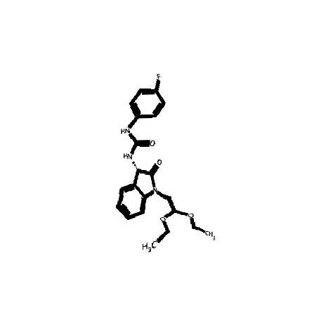 CCOC(CN1C(=O)[C@@H](NC(=O)Nc2ccc(F)cc2)c2ccccc21)OCC